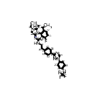 CCn1s/c(=N/C(=O)NCCc2ccc(-c3ncn(-c4ccc(OC(F)(F)F)cc4)n3)cc2)n(-c2cc(F)ccc2C(C)C)c1=O